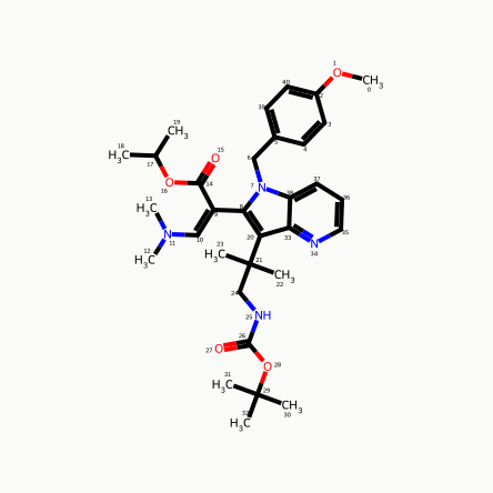 COc1ccc(Cn2c(C(=CN(C)C)C(=O)OC(C)C)c(C(C)(C)CNC(=O)OC(C)(C)C)c3ncccc32)cc1